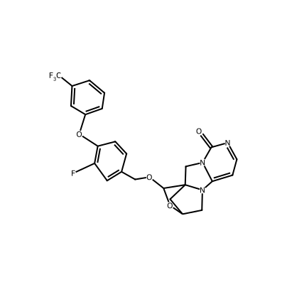 O=c1nccc2n1CC13CC(CN21)OC3OCc1ccc(Oc2cccc(C(F)(F)F)c2)c(F)c1